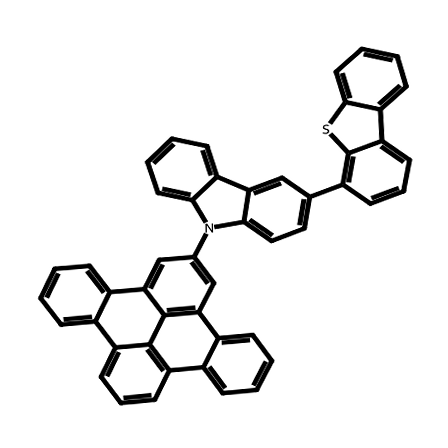 c1ccc2c(c1)sc1c(-c3ccc4c(c3)c3ccccc3n4-c3cc4c5ccccc5c5cccc6c7ccccc7c(c3)c4c56)cccc12